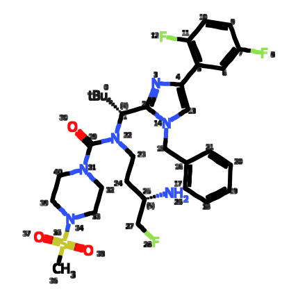 CC(C)(C)[C@H](c1nc(-c2cc(F)ccc2F)cn1Cc1ccccc1)N(CC[C@H](N)CF)C(=O)N1CCN(S(C)(=O)=O)CC1